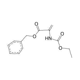 C=C(NC(=O)OCC)C(=O)OCc1ccccc1